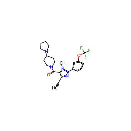 C#Cc1nc(-c2cccc(OC(F)(F)F)c2)n(C)c1C(=O)N1CCC(N2CCCC2)CC1